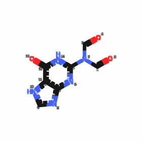 O=CN(C=O)c1nc2nc[nH]c2c(=O)[nH]1